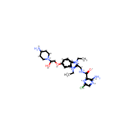 CCn1c(CNC(=O)c2nc(Cl)cnc2N)[n+](CC)c2ccc(OCC(O)N3CCC(N)CC3)cc21